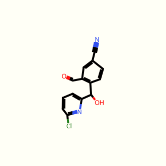 N#Cc1ccc(C(O)c2cccc(Cl)n2)c(C=O)c1